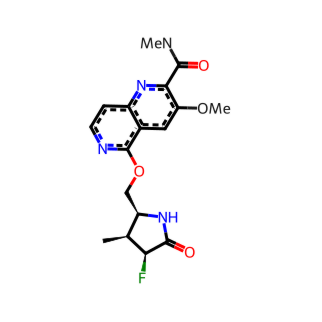 CNC(=O)c1nc2ccnc(OC[C@H]3NC(=O)[C@@H](F)[C@H]3C)c2cc1OC